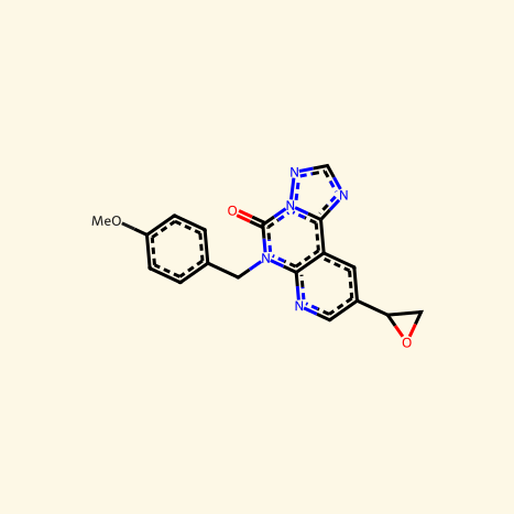 COc1ccc(Cn2c(=O)n3ncnc3c3cc(C4CO4)cnc32)cc1